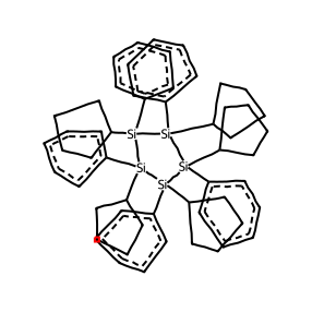 c1ccc([Si]2(C3CCCC3)[Si](c3ccccc3)(C3CCCC3)[Si](c3ccccc3)(C3CCCC3)[Si](c3ccccc3)(C3CCCC3)[Si]2(c2ccccc2)C2CCCC2)cc1